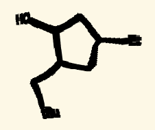 CCC1CC(O)C(CC(C)(C)C)C1